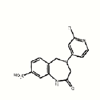 O=C1CN(c2ccnc(Cl)c2)Cc2ccc(C(=O)O)cc2N1